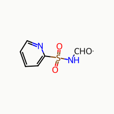 O=[C]NS(=O)(=O)c1ccccn1